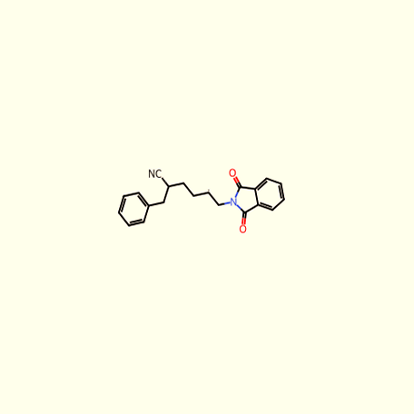 N#CC(CC[CH]CN1C(=O)c2ccccc2C1=O)Cc1ccccc1